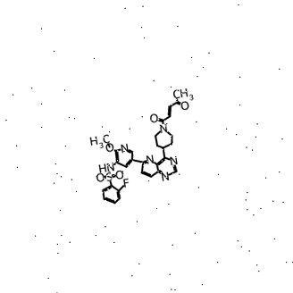 COc1ncc(-c2ccc3ncnc(C4CCN(C(=O)/C=C/C(C)=O)CC4)c3n2)cc1NS(=O)(=O)c1ccccc1F